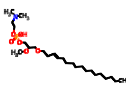 CCCCCCCCCCCCCC=CCCOCC(COP(=O)(O)OCCN(C)C)OC